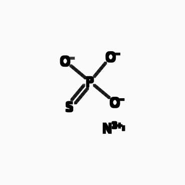 [N+3].[O-]P([O-])([O-])=S